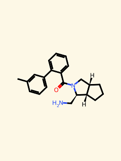 Cc1cccc(-c2ccccc2C(=O)N2C[C@@H]3CCC[C@@H]3[C@H]2CN)c1